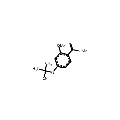 COC(=O)c1ccc(OC(C)(C)C#N)cc1OC